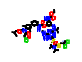 CC(C)N(C(=O)SC/C(Cl)=C/Cl)C(C)C.CCOC(=O)Nc1cccc(OC(=O)Nc2ccccc2)c1.CNc1nc(NC(C)C)nc(SC)n1.Cc1cccc(C)c1N(COCC(C)C)C(=O)CCl